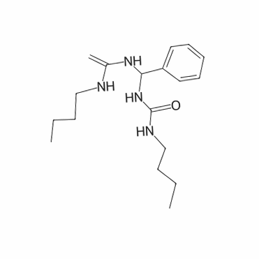 C=C(NCCCC)NC(NC(=O)NCCCC)c1ccccc1